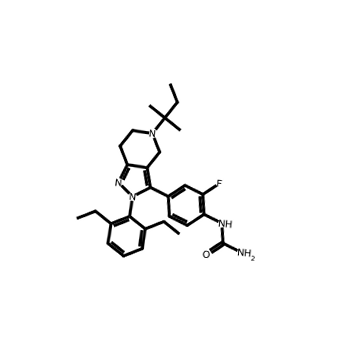 CCc1cccc(CC)c1-n1nc2c(c1-c1ccc(NC(N)=O)c(F)c1)CN(C(C)(C)CC)CC2